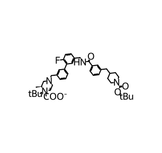 C[C@H]1CN(Cc2cccc(-c3cc(CNC(=O)c4cccc(CC5CCN(C(=O)OC(C)(C)C)CC5)c4)ccc3F)c2)CC[N+]1(C(=O)[O-])C(C)(C)C